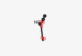 C=CC(=O)OCCCCCCCCCCOc1ccc(C#N)c(OC(=O)c2ccc(-c3ccccc3)cc2)c1